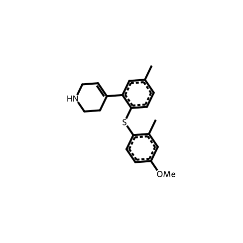 COc1ccc(Sc2ccc(C)cc2C2=CCNCC2)c(C)c1